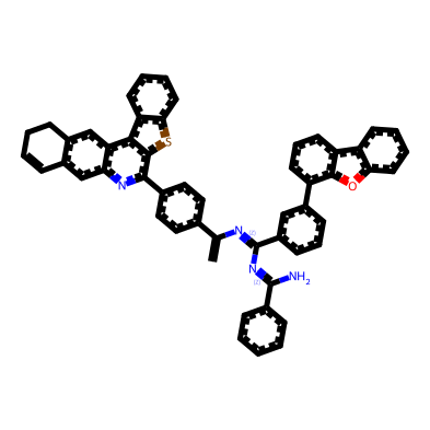 C=C(/N=C(\N=C(/N)c1ccccc1)c1cccc(-c2cccc3c2oc2ccccc23)c1)c1ccc(-c2nc3cc4c(cc3c3c2sc2ccccc23)CCC=C4)cc1